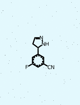 N#Cc1cc(F)cc(C2CC=NN2)c1